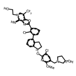 COc1nc(O[C@H]2CCc3c(-c4cccc(-c5nc6c(=N)n(CCO)cc(C(F)(F)F)c6o5)c4Cl)cccc32)c(Cl)cc1CN1CC[C@@H](O)C1